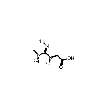 [2H]/N=C(\N([2H])C)N([2H])CC(=O)O